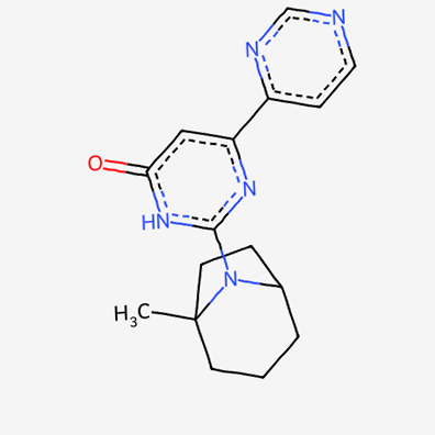 CC12CCCC(CC1)N2c1nc(-c2ccncn2)cc(=O)[nH]1